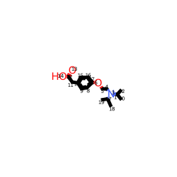 CC(C)N(CCOc1ccc(CC(=O)O)cc1)C(C)C